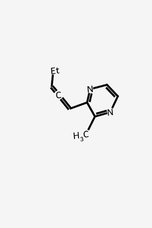 CCC=C=Cc1nccnc1C